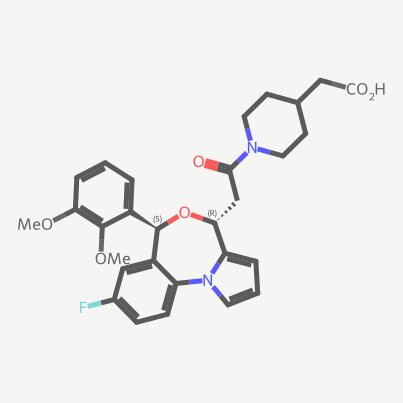 COc1cccc([C@H]2O[C@H](CC(=O)N3CCC(CC(=O)O)CC3)c3cccn3-c3ccc(F)cc32)c1OC